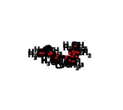 Cc1cc2nc3cc(C)c(N(CCCCCCCCCN(C(=O)OC(C)(C)C)c4ccc5nc6c(-c7c(C)cccc7C)cc(NC(=O)OC(C)(C)C)cc6nc5c4)C(=O)OC(C)(C)C)cc3[n+](-c3ccccc3)c2cc1NC(=O)OC(C)(C)C.[Cl-]